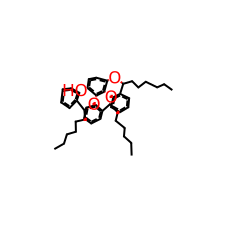 CCCCCCC(Oc1ccc(O)c(OC(CCCCCC)c2ccccc2)c1OC(CCCCCC)c1ccccc1)c1ccccc1